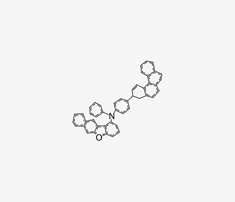 C1=CC(c2ccc(N(c3ccccc3)c3cccc4oc5cc6ccccc6cc5c34)cc2)Cc2ccc3ccc4ccccc4c3c21